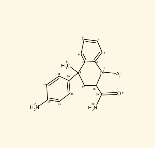 CC(=O)N1c2cc[c]cc2C(C)(c2ccc(N)cc2)CC1C(N)=O